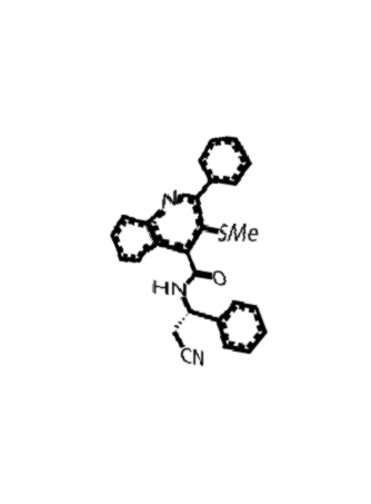 CSc1c(-c2ccccc2)nc2ccccc2c1C(=O)N[C@@H](CC#N)c1ccccc1